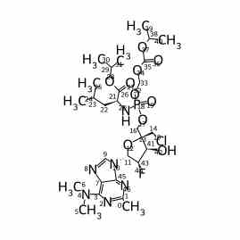 Cc1nc(N(C)C)c2ncn([C@@H]3O[C@](CCl)(COP(=O)(N[C@@H](CC(C)C)C(=O)OC(C)C)OCOC(=O)OC(C)C)[C@@H](O)[C@H]3F)c2n1